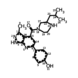 Cc1n[nH]c2nc(-c3ccc(O)cc3)cc(C(=O)N3CCNC(CC(C)C)C3)c12